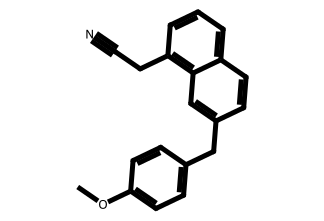 COc1ccc(Cc2ccc3cccc(CC#N)c3c2)cc1